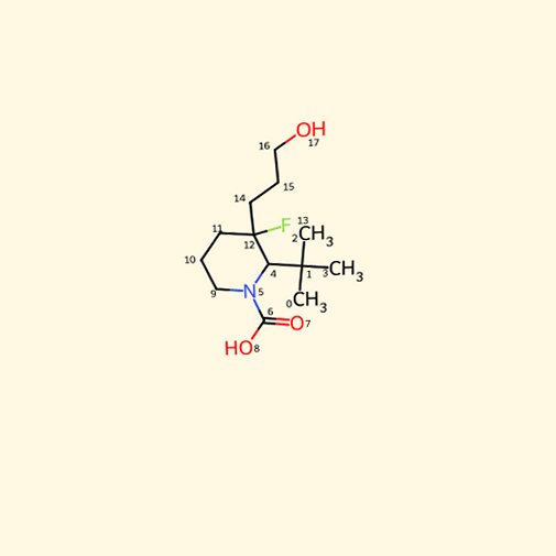 CC(C)(C)C1N(C(=O)O)CCCC1(F)CCCO